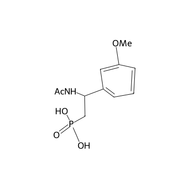 COc1cccc(C(CP(=O)(O)O)NC(C)=O)c1